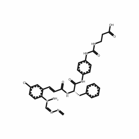 C=N/N=C\N(N)c1ccc(Cl)cc1/C=C/C(=O)N[C@@H](Cc1ccccc1)C(=O)Nc1ccc(NC(=O)NCCC(=O)O)cc1